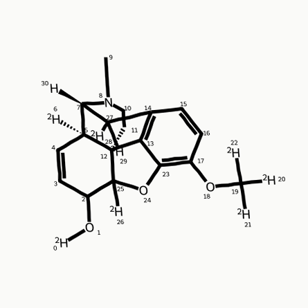 [2H]OC1C=C[C@@]2([2H])[C@@H]3N(C)CC[C@@]24c2c(ccc(OC([2H])([2H])[2H])c2OC14[2H])C3([2H])[2H]